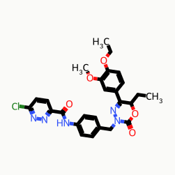 CCOc1ccc(C2=NN(Cc3ccc(NC(=O)c4ccc(Cl)nn4)cc3)C(=O)OC2CC)cc1OC